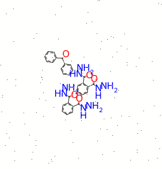 NNC(=O)c1ccccc1C(=O)NN.NNC(=O)c1ccccc1C(=O)NN.O=C(c1ccccc1)c1ccccc1